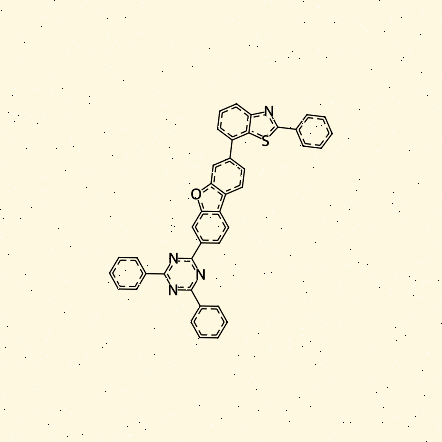 c1ccc(-c2nc(-c3ccccc3)nc(-c3ccc4c(c3)oc3cc(-c5cccc6nc(-c7ccccc7)sc56)ccc34)n2)cc1